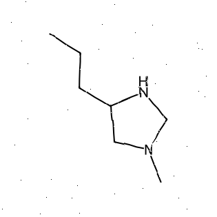 CCCC1CN(C)CN1